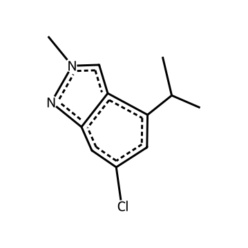 CC(C)c1cc(Cl)cc2nn(C)cc12